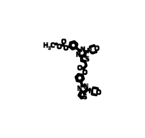 CCOC(=O)Oc1cccc(-c2nc(N3CCOCC3)c3sc(CC(=O)Oc4cccc(-c5nc(N6CCOCC6)c6sccc6n5)c4)cc3n2)c1